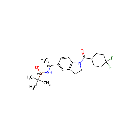 C[C@@H](N[S@+]([O-])C(C)(C)C)c1ccc2c(c1)CCN2C(=O)C1CCC(F)(F)CC1